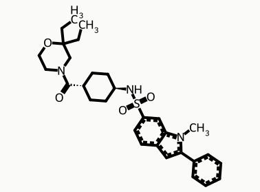 CCC1(CC)CN(C(=O)[C@H]2CC[C@H](NS(=O)(=O)c3ccc4cc(-c5ccccc5)n(C)c4c3)CC2)CCO1